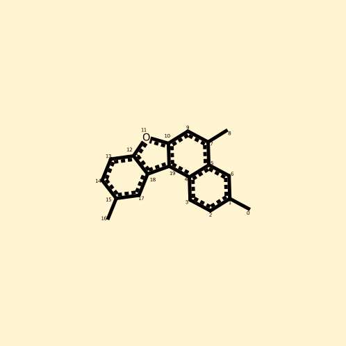 Cc1ccc2c(c1)c(C)cc1oc3ccc(C)cc3c12